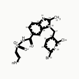 CCCC=CS(=O)(=O)NC(=O)c1ccc2nc(C)n(Cc3ccc(Br)cc3Cl)c2c1